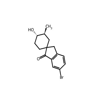 C[C@H]1CC2(CC[C@@H]1O)Cc1ccc(Br)cc1C2=O